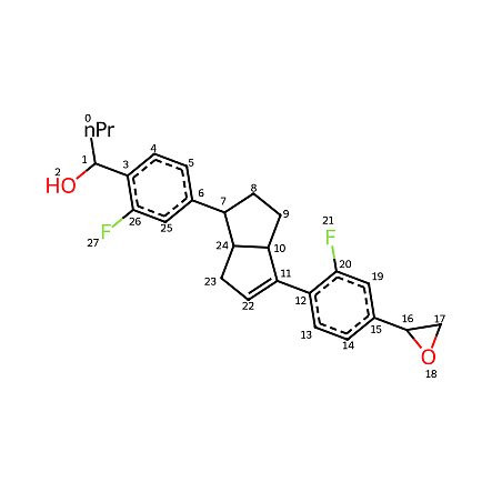 CCCC(O)c1ccc(C2CCC3C(c4ccc(C5CO5)cc4F)=CCC32)cc1F